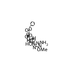 COc1nc(N)nc2c1ncn2[C@@H]1O[C@@H]2CO[P@](=O)(OCC(=O)OCc3ccccc3)O[C@H]2[C@@]1(C)O